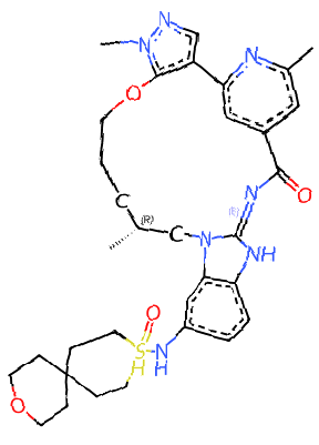 Cc1cc2cc(n1)-c1cnn(C)c1OCCC[C@@H](C)CN1/C(=N/C2=O)Nc2ccc(N[SH]3(=O)CCC4(CCOCC4)CC3)cc21